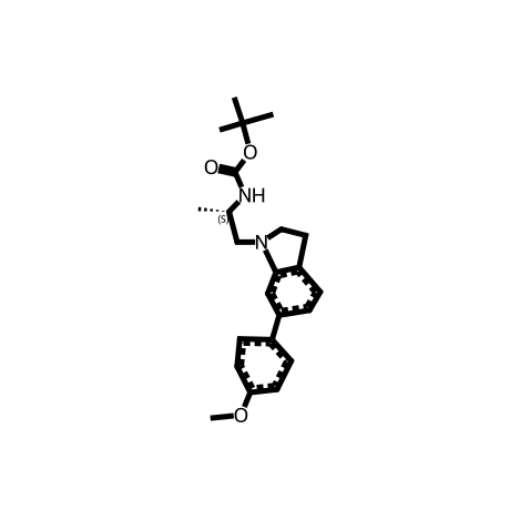 COc1ccc(-c2ccc3c(c2)N(C[C@H](C)NC(=O)OC(C)(C)C)CC3)cc1